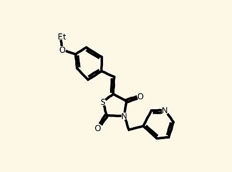 CCOc1ccc(/C=C2\SC(=O)N(Cc3cccnc3)C2=O)cc1